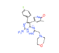 Cc1cc(-c2c(-c3ccc(F)cc3)nc(N)[nH]/c2=N\C(=N)CN2CCOCC2)c[nH]c1=O